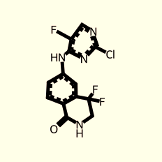 O=C1NCC(F)(F)c2cc(Nc3nc(Cl)ncc3F)ccc21